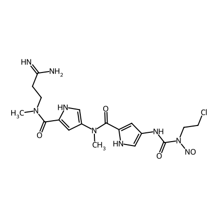 CN(CCC(=N)N)C(=O)c1cc(N(C)C(=O)c2cc(NC(=O)N(CCCl)N=O)c[nH]2)c[nH]1